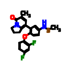 CSNc1ccc(Oc2ccc(F)cc2F)c(-c2cc(C)c(=O)n3c2CCC3)c1